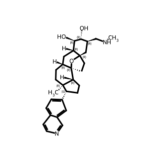 CNC[C@H]1C[C@@]23CC[C@@]4(O2)[C@H](CC[C@]2(C)[C@@H](c5ccc6ccncc6c5)CC[C@H]24)C[C@@H]3[C@@H](O)[C@@H]1O